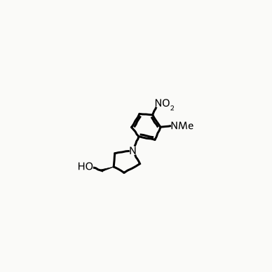 CNc1cc(N2CC[C@@H](CO)C2)ccc1[N+](=O)[O-]